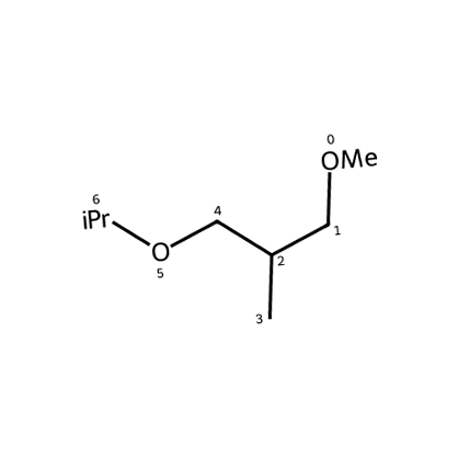 COCC(C)COC(C)C